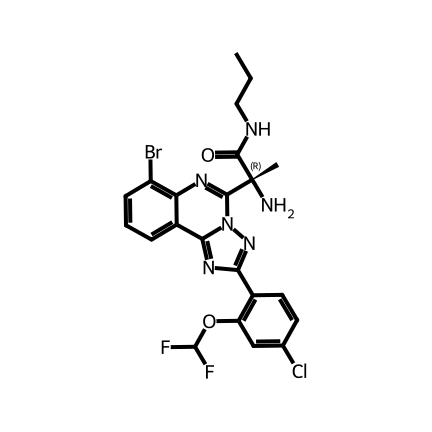 CCCNC(=O)[C@](C)(N)c1nc2c(Br)cccc2c2nc(-c3ccc(Cl)cc3OC(F)F)nn12